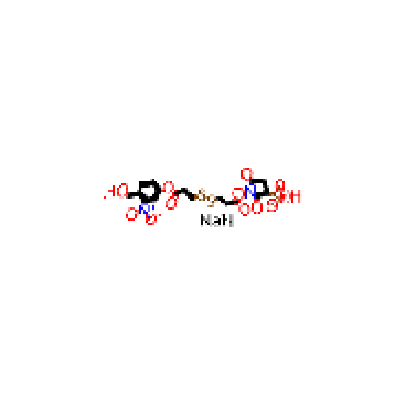 O=C(CCSSCCC(=O)ON1C(=O)CC(S(=O)(=O)O)C1=O)Oc1ccc(CO)c([N+](=O)[O-])c1.[NaH]